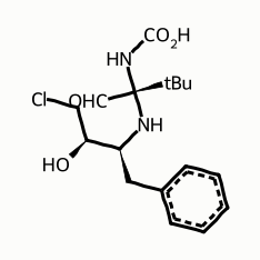 CC(C)(C)[C@@](C=O)(NC(=O)O)N[C@@H](Cc1ccccc1)[C@@H](O)CCl